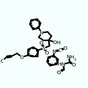 CC#CCOc1ccc(S(=O)(=O)CC2(O)CCN(c3ccccc3)CC2)cc1.NC(=O)NC=O.O=C=Nc1ccccc1